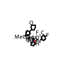 COc1ccc(C2CCCC(=O)C2)cc1C(=O)N[C@H]1[C@@H](C(=O)Nc2ccc(F)c(C(F)(F)F)c2)[C@H]2CC[C@@H]1/C2=C\C(F)(F)F